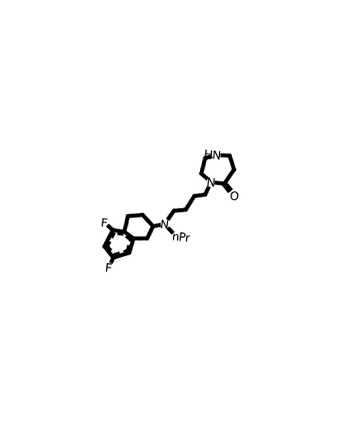 CCCN(CCCCN1CCNCCC1=O)C1CCc2c(F)cc(F)cc2C1